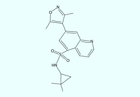 Cc1noc(C)c1-c1cc(S(=O)(=O)NC2CC2(C)C)c2cccnc2c1